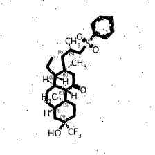 C[C@H](CS(=O)(=O)c1ccccc1)[C@H]1CC[C@H]2[C@@H]3CC[C@@H]4C[C@](O)(C(F)(F)F)CC[C@]4(C)[C@H]3C(=O)C[C@]12C